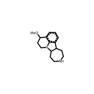 COC1CCN2c3c1cccc3C1CCNCCC12